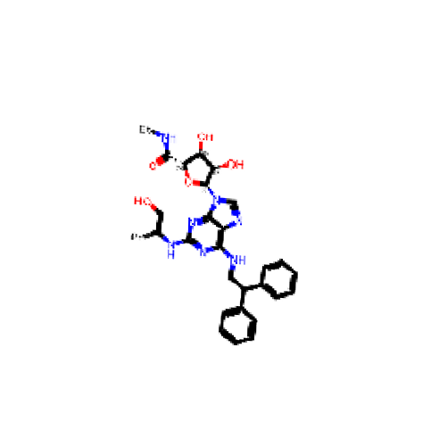 CCNC(=O)[C@H]1O[C@H](n2cnc3c(NCC(c4ccccc4)c4ccccc4)nc(NC(CO)C(C)C)nc32)[C@H](O)[C@@H]1O